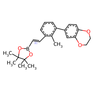 Cc1c(/C=C/B2OC(C)(C)C(C)(C)O2)cccc1-c1ccc2c(c1)OCCO2